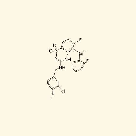 C[C@H](c1ccccc1F)c1c(F)ccc2c1NC(NCc1ccc(F)c(Cl)c1)=NS2(=O)=O